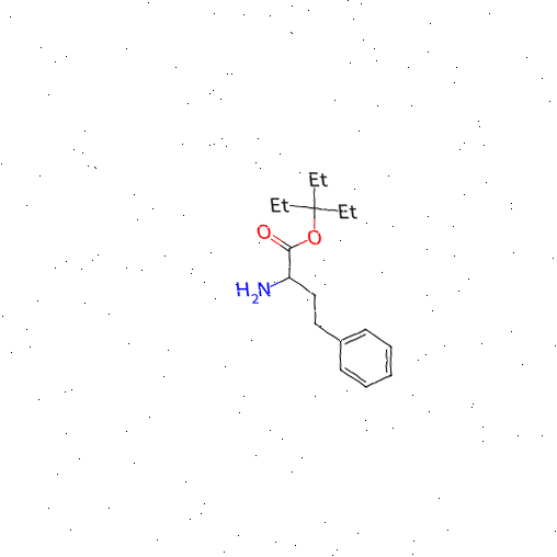 CCC(CC)(CC)OC(=O)C(N)CCc1ccccc1